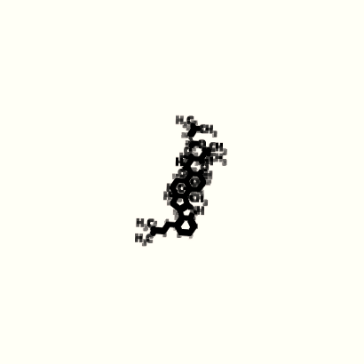 CC(C)=CCc1cccc2[nH]c3c(c12)C[C@@H]1CC[C@@]2(O)[C@@]45O[C@@H]4[C@@H]4O[C@H](C=C(C)C)OC(C)(C)[C@H]4O[C@H]5CC[C@]2(C)[C@@]31C